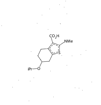 CNc1sc2c(c1C(=O)O)CCC(OC(C)C)C2